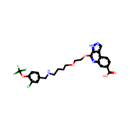 O=C(O)c1ccc2c(c1)nc(OCCOCCCCNCc1ccc(OC(F)(F)F)c(Cl)c1)c1[nH]ncc12